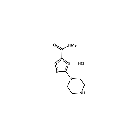 CNC(=O)c1cnc(N2CCNCC2)s1.Cl